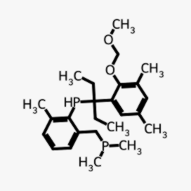 CCC(CC)(Pc1c(C)cccc1CP(C)C)c1cc(C)cc(C)c1OCOC